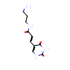 Cn1cc(/C=C/C(=O)NCCCN)c(=O)[nH]c1=O